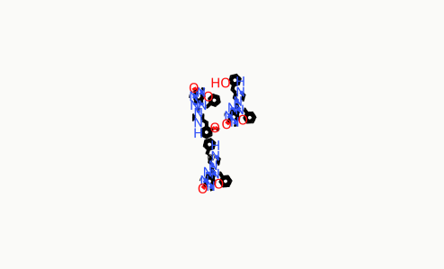 COc1ccccc1CC1CN(c2nc3c(c(=O)n(C)c(=O)n3C)n2Cc2ccccc2)CCN1.Cn1c(=O)c2c(nc(N3CCNC(Cc4ccccc4O)C3)n2Cc2ccccc2)n(C)c1=O.Cn1c(=O)c2c(nc(N3CCN[C@H](Cc4ccccc4)C3)n2Cc2ccccc2)n(C)c1=O